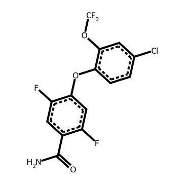 NC(=O)c1cc(F)c(Oc2ccc(Cl)cc2OC(F)(F)F)cc1F